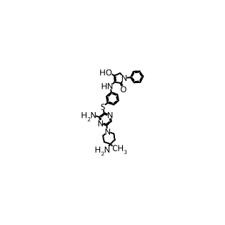 CC1(N)CCN(c2cnc(Sc3cccc(NC4=C(O)CN(c5ccccc5)C4=O)c3)c(N)n2)CC1